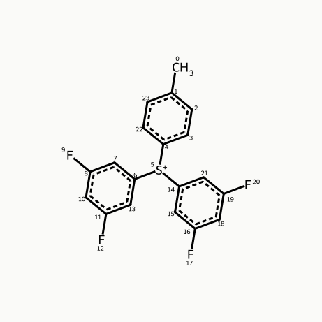 Cc1ccc([S+](c2cc(F)cc(F)c2)c2cc(F)cc(F)c2)cc1